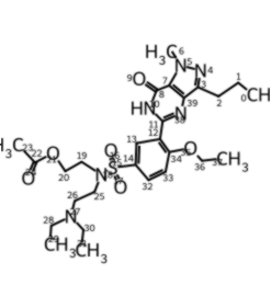 CCCc1nn(C)c2c(=O)[nH]c(-c3cc(S(=O)(=O)N(CCOC(C)=O)CCN(CC)CC)ccc3OCC)nc12